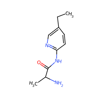 CCc1ccc(NC(=O)C(C)N)nc1